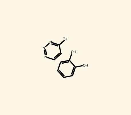 Oc1ccccc1O.[2H]c1ccnnn1